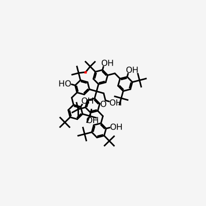 CC(C)(C)c1cc(Cc2cc(C(CC(=O)O)(c3cc(Cc4cc(C(C)(C)C)cc(C(C)(C)C)c4O)c(O)c(C(C)(C)C)c3)c3cc(Cc4cc(C(C)(C)C)cc(C(C)(C)C)c4O)c(O)c(C(C)(C)C)c3)cc(C(C)(C)C)c2O)c(O)c(C(C)(C)C)c1